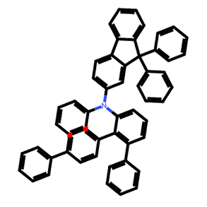 c1ccc(-c2ccc(-c3c(-c4ccccc4)cccc3N(c3ccccc3)c3ccc4c(c3)C(c3ccccc3)(c3ccccc3)c3ccccc3-4)cc2)cc1